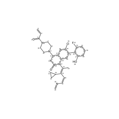 C=CC(=O)N1CCN(c2nc(=O)n(/C(C)=C(/C=C\N=C)C3CC3)c3cc(-c4c(O)cccc4F)c(Cl)cc23)CC1